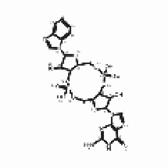 Nc1nc2c(ncn2C2OC3COP(=O)(O)OC4C(COP(=O)(O)OC3C2O)OC(n2cnc3ccccc32)C4O)c(=O)[nH]1